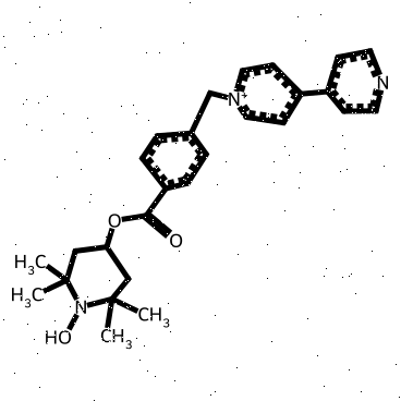 CC1(C)CC(OC(=O)c2ccc(C[n+]3ccc(-c4ccncc4)cc3)cc2)CC(C)(C)N1O